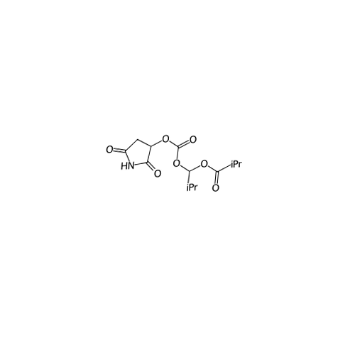 CC(C)C(=O)OC(OC(=O)OC1CC(=O)NC1=O)C(C)C